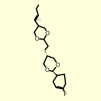 CC/C=C/C1COC(CC[C@H]2CO[C@H](C3CC=C(F)CC3)OC2)OC1